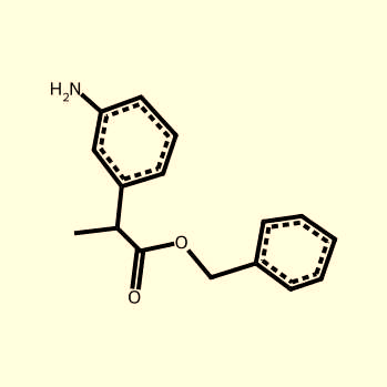 CC(C(=O)OCc1ccccc1)c1cccc(N)c1